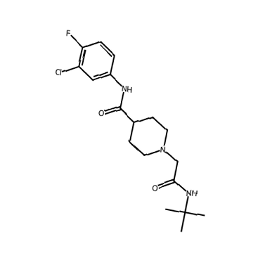 CC(C)(C)NC(=O)CN1CCC(C(=O)Nc2ccc(F)c(Cl)c2)CC1